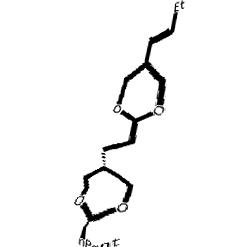 CC/C=C/C1COC(CC[C@H]2CO[C@H](CCCCC)OC2)OC1